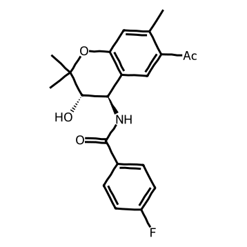 CC(=O)c1cc2c(cc1C)OC(C)(C)[C@@H](O)[C@@H]2NC(=O)c1ccc(F)cc1